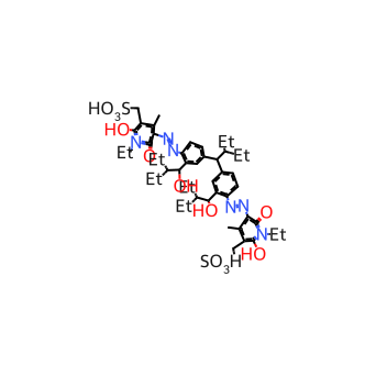 CCC(CC)C(O)c1cc(C(c2ccc(/N=N/c3c(C)c(CS(=O)(=O)O)c(O)n(CC)c3=O)c(C(O)C(CC)CC)c2)C(CC)CC)ccc1/N=N/c1c(C)c(CS(=O)(=O)O)c(O)n(CC)c1=O